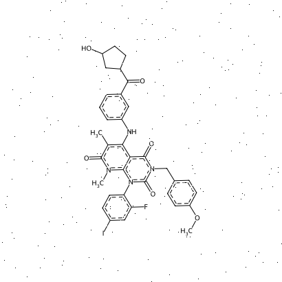 COc1ccc(Cn2c(=O)c3c(Nc4cccc(C(=O)C5CCC(O)C5)c4)c(C)c(=O)n(C)c3n(-c3ccc(I)cc3F)c2=O)cc1